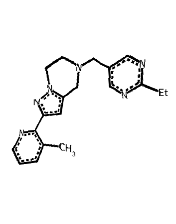 CCc1ncc(CN2CCn3nc(-c4ncccc4C)cc3C2)cn1